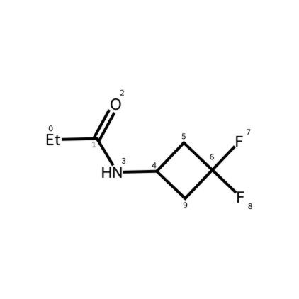 CCC(=O)NC1CC(F)(F)C1